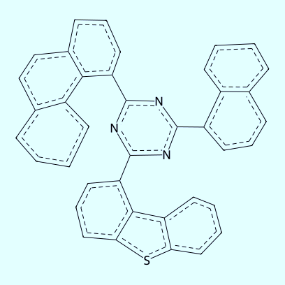 c1ccc2c(-c3nc(-c4cccc5ccc6ccccc6c45)nc(-c4cccc5sc6ccccc6c45)n3)cccc2c1